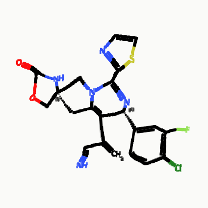 C=C(C=N)C1=C2C[C@@]3(COC(=O)N3)CN2C(c2nccs2)=N[C@@H]1c1ccc(Cl)c(F)c1